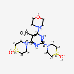 O=[N+]([O-])c1c(N2CCOCC2)nc(N2CC[S+]([O-])CC2)nc1N1CC[S+]([O-])CC1